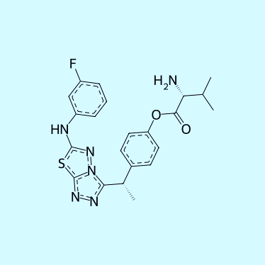 CC(C)[C@@H](N)C(=O)Oc1ccc([C@H](C)c2nnc3sc(Nc4cccc(F)c4)nn23)cc1